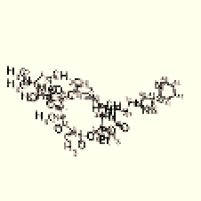 CC[C@H]1OC(=O)[C@H](C)C(=O)[C@H](C)[C@@H](O[C@@H]2OC(C)CC(N(C)C)C2O)[C@](C)(OC)C[C@@H](C)CN[C@H](C)[C@H]2N(CCCn3cc(-c4ccccn4)nn3)C(=O)O[C@]12C